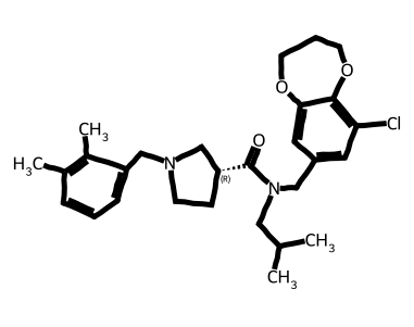 Cc1cccc(CN2CC[C@@H](C(=O)N(Cc3cc(Cl)c4c(c3)OCCCO4)CC(C)C)C2)c1C